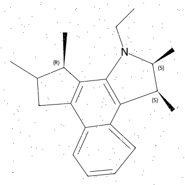 CCN1c2c3c(c4ccccc4c2[C@H](C)[C@@H]1C)CC(C)[C@H]3C